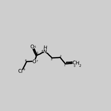 C=CCCNC(=O)OCCl